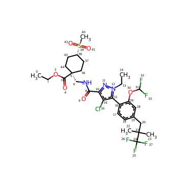 CCOC(=O)[C@]1(CNC(=O)c2nn(CC)c(-c3ccc(CC(C)(C)C(F)(F)F)cc3OC(F)F)c2Cl)CC[C@@H](S(C)(=O)=O)CC1